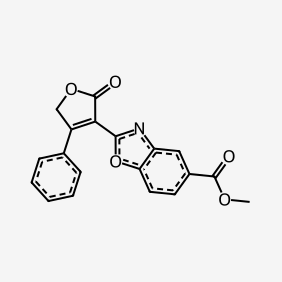 COC(=O)c1ccc2oc(C3=C(c4ccccc4)COC3=O)nc2c1